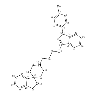 Fc1ccc(-n2cc(OCCCN3CCC4(CC3)OCc3ccccc34)c3ccccc32)cc1